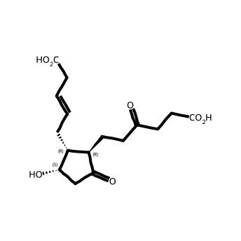 O=C(O)CC=CC[C@H]1[C@@H](O)CC(=O)[C@@H]1CCC(=O)CCC(=O)O